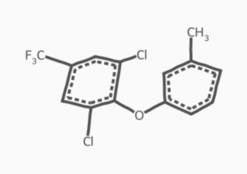 Cc1cccc(Oc2c(Cl)cc(C(F)(F)F)cc2Cl)c1